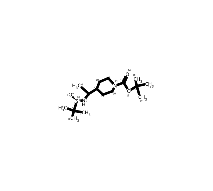 CC(N[S@+]([O-])C(C)(C)C)C1CCN(C(=O)OC(C)(C)C)CC1